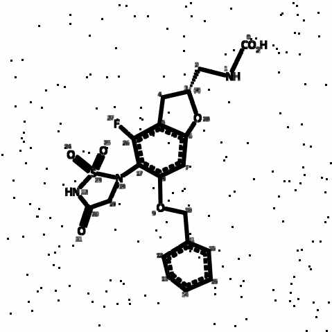 O=C(O)NC[C@H]1Cc2c(cc(OCc3ccccc3)c(N3CC(=O)NS3(=O)=O)c2F)O1